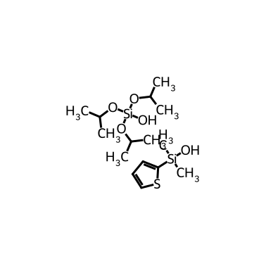 CC(C)O[Si](O)(OC(C)C)OC(C)C.C[Si](C)(O)c1cccs1